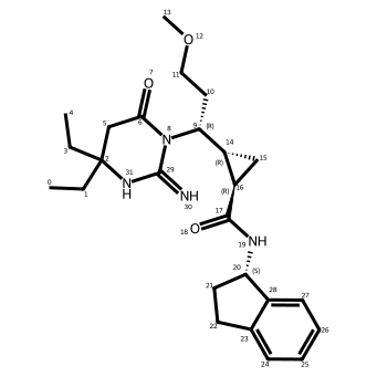 CCC1(CC)CC(=O)N([C@H](CCOC)[C@@H]2C[C@H]2C(=O)N[C@H]2CCc3ccccc32)C(=N)N1